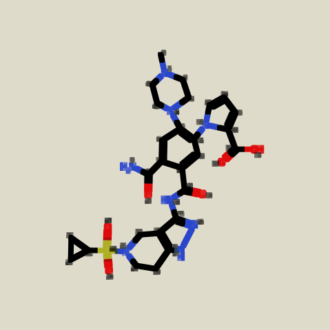 CN1CCN(c2cc(C(N)=O)c(C(=O)Nc3n[nH]c4c3CN(S(=O)(=O)C3CC3)CC4)cc2-n2cccc2C(=O)O)CC1